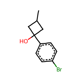 CC1CC(O)(c2ccc(Br)cc2)C1